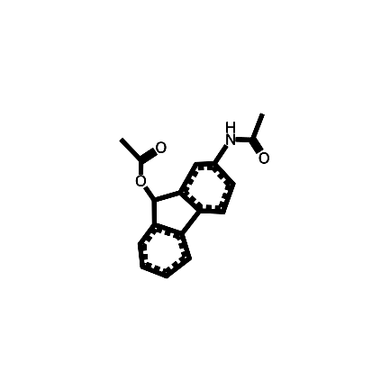 CC(=O)Nc1ccc2c(c1)C(OC(C)=O)c1ccccc1-2